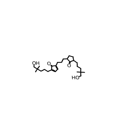 CC(C)(CO)CCCC1=CC=C(CCCC2CCC(CCCC(C)(C)CO)C2=O)C1=O